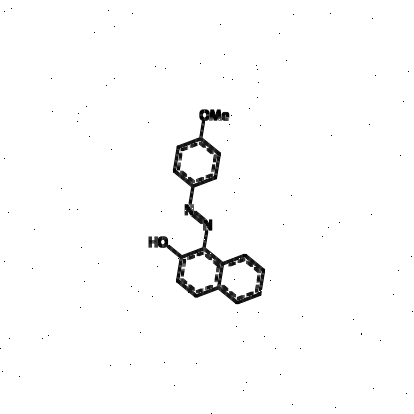 COc1ccc(N=Nc2c(O)ccc3ccccc23)cc1